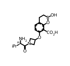 CC(C)[C@@H](N)C(=O)N1CC(Oc2ccc3c(c2C(=O)O)OB(O)CC3)C1